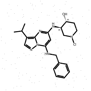 CC(C)c1cnn2c(NCc3ccccc3)cc(N[C@@H]3CN(Cl)CC[C@H]3O)nc12